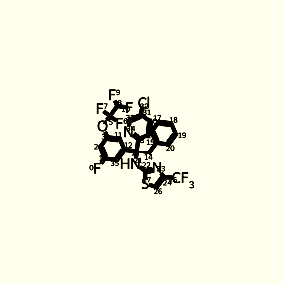 Fc1cc(OC(F)(F)C(F)F)cc([C@@](Cc2ccccc2)(Nc2nc(C(F)(F)F)cs2)c2ccc(Cl)cn2)c1